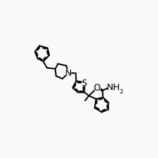 CC(C)(c1ccc(CN2CCC(Cc3ccccc3)CC2)s1)c1ccccc1C(N)=O